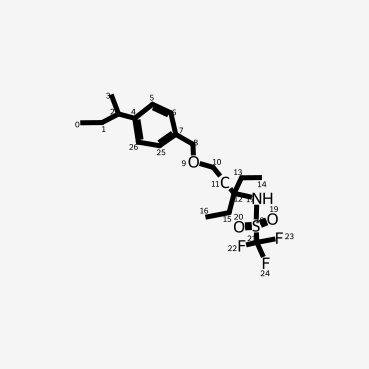 CCC(C)c1ccc(COCCC(CC)(CC)NS(=O)(=O)C(F)(F)F)cc1